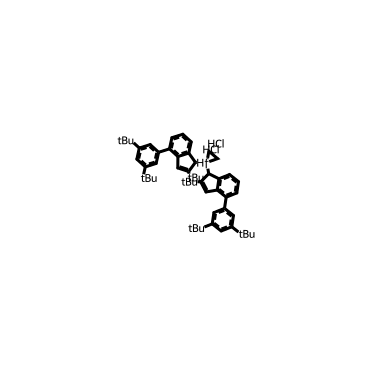 CC(C)(C)C1=Cc2c(-c3cc(C(C)(C)C)cc(C(C)(C)C)c3)cccc2[CH]1[Hf]1([CH]2C(C(C)(C)C)=Cc3c(-c4cc(C(C)(C)C)cc(C(C)(C)C)c4)cccc32)[CH2][CH2]1.Cl.Cl